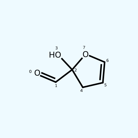 O=CC1(O)CC=CO1